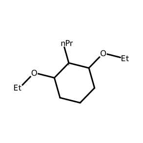 CCC[C]1C(OCC)CCCC1OCC